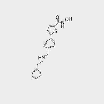 O=C(NO)c1ccc(-c2ccc(CNCCc3ccccc3)cc2)s1